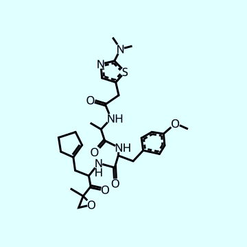 COc1ccc(CC(NC(=O)C(C)NC(=O)Cc2cnc(N(C)C)s2)C(=O)NC(CC2=CCCC2)C(=O)C2(C)CO2)cc1